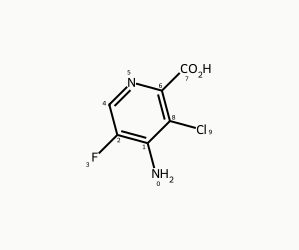 Nc1c(F)cnc(C(=O)O)c1Cl